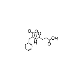 O=C(O)CCC(=O)NC(Cc1ccccc1)C(=O)O